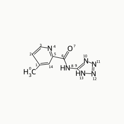 Cc1ccnc(C(=O)Nc2nnn[nH]2)c1